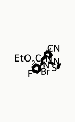 CCOC(=O)C1=C2C[C@H](C#N)CN2C(c2nccs2)=N[C@H]1c1ccc(F)cc1Br